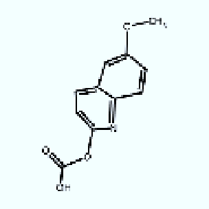 COc1ccc2nc(OC(=O)O)ccc2c1